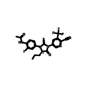 CCC[C@@H]1C(=O)N(c2cnc(C#N)c(C(F)(F)F)c2)C(=S)N1c1ccc(NC(C)=O)c(F)c1